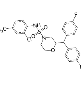 Cc1ccc(NS(=O)(=O)N2CCOC(C(c3ccc(F)cc3)c3ccc(F)cc3)C2)c(Cl)c1